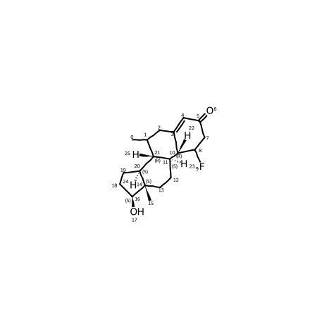 CC1CC2=CC(=O)CC(F)[C@@H]2[C@H]2CC[C@]3(C)[C@@H](O)CC[C@H]3[C@H]12